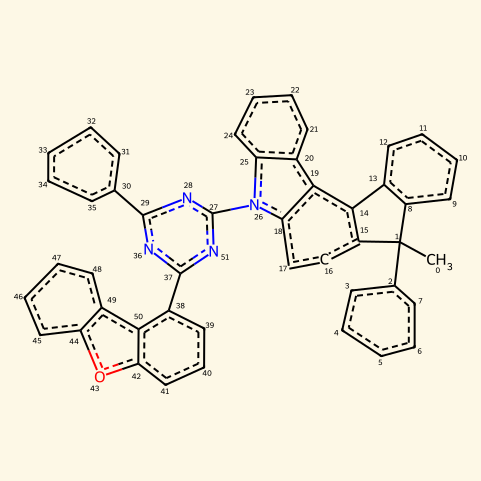 CC1(c2ccccc2)c2ccccc2-c2c1ccc1c2c2ccccc2n1-c1nc(-c2ccccc2)nc(-c2cccc3oc4ccccc4c23)n1